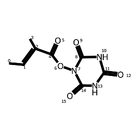 CC=C(C)C(=O)On1c(=O)[nH]c(=O)[nH]c1=O